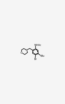 CC(=O)Nc1cc(C(C)(C)C)c(Br)cc1CN1CCOCC1